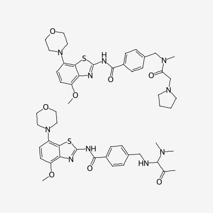 COc1ccc(N2CCOCC2)c2sc(NC(=O)c3ccc(CN(C)C(=O)CN4CCCC4)cc3)nc12.COc1ccc(N2CCOCC2)c2sc(NC(=O)c3ccc(CNC(C(C)=O)N(C)C)cc3)nc12